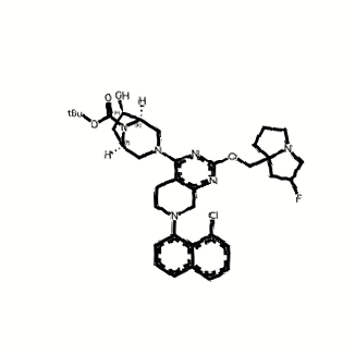 CC(C)(C)OC(=O)N1[C@@H]2C[C@@H](O)[C@H]1CN(c1nc(OCC34CCCN3CC(F)C4)nc3c1CCN(c1cccc4cccc(Cl)c14)C3)C2